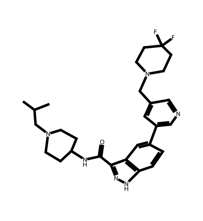 CC(C)CN1CCC(NC(=O)c2n[nH]c3ccc(-c4cncc(CN5CCC(F)(F)CC5)c4)cc23)CC1